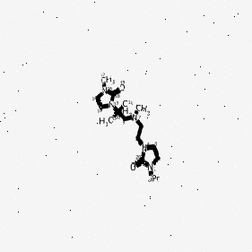 CC(C)N1CCN(CCN(C)CC(C)(C)N2CCN(C)C2=O)C1=O